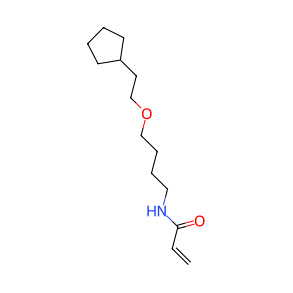 C=CC(=O)NCCCCOCCC1CCCC1